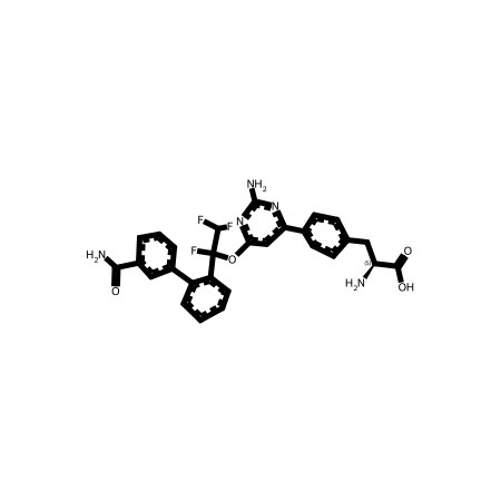 NC(=O)c1cccc(-c2ccccc2C(F)(Oc2cc(-c3ccc(C[C@H](N)C(=O)O)cc3)nc(N)n2)C(F)F)c1